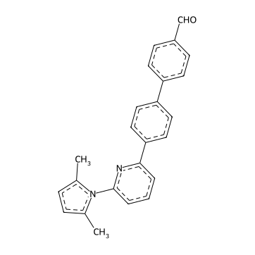 Cc1ccc(C)n1-c1cccc(-c2ccc(-c3ccc(C=O)cc3)cc2)n1